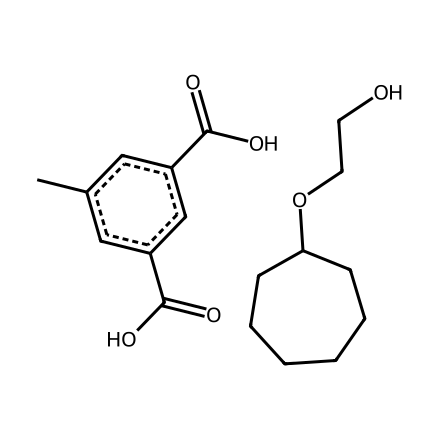 Cc1cc(C(=O)O)cc(C(=O)O)c1.OCCOC1CCCCCC1